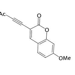 COc1ccc2cc(C#CC(C)=O)c(=O)oc2c1